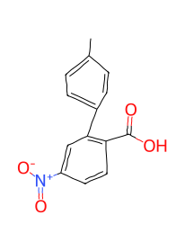 Cc1ccc(-c2cc([N+](=O)[O-])ccc2C(=O)O)cc1